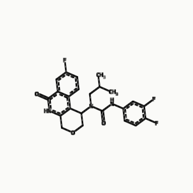 CC(C)CN(C(=O)Nc1ccc(F)c(F)c1)C1COCc2[nH]c(=O)c3cc(F)ccc3c21